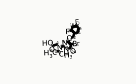 CC(C)N(CC(=O)O)c1nc(OCc2ccc(F)cc2F)c(Br)c(=O)[nH]1